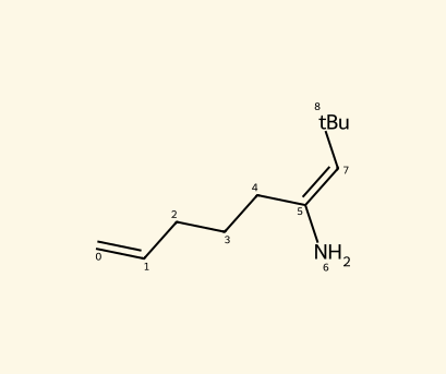 C=CCCC/C(N)=C\C(C)(C)C